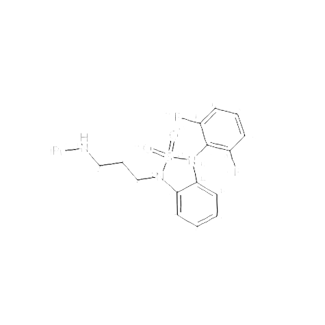 CC(C)NCCCN1c2ccccc2N(c2c(F)cccc2F)S1(=O)=O